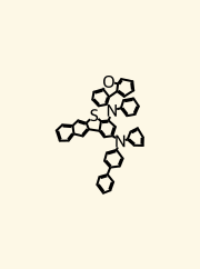 c1ccc(-c2ccc(N(c3ccccc3)c3cc(N(c4ccccc4)c4cccc5oc6ccccc6c45)c4sc5cc6ccccc6cc5c4c3)cc2)cc1